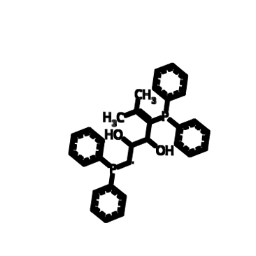 CC(C)=C(C(O)C(O)[CH]P(c1ccccc1)c1ccccc1)P(c1ccccc1)c1ccccc1